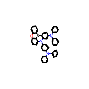 c1ccc(N(c2ccccc2)c2ccc(N3c4cc(N(c5ccccc5)c5ccccc5)ccc4B4c5ccccc5Oc5cccc3c54)cc2)cc1